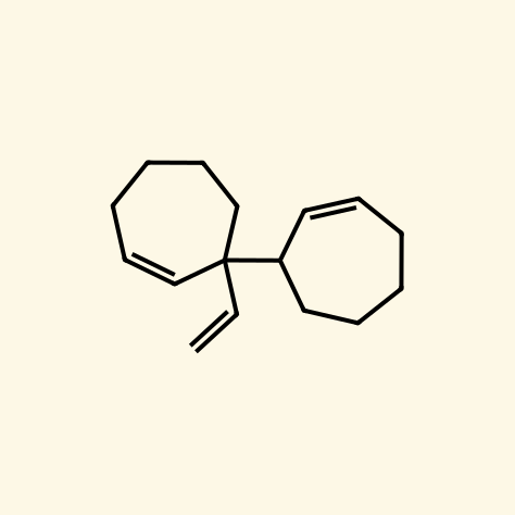 C=CC1(C2C=CCCCC2)C=CCCCC1